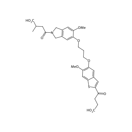 COc1cc2c(cc1OCCCOc1cc3cc(C(=O)CCC(=O)O)sc3cc1OC)CN(C(=O)CC(C)C(=O)O)C2